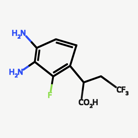 Nc1ccc(C(CC(F)(F)F)C(=O)O)c(F)c1N